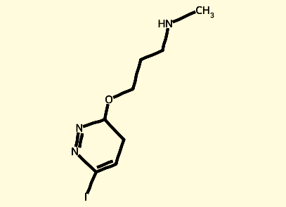 CNCCCOC1CC=C(I)N=N1